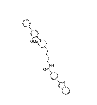 COc1cc(-c2ccccc2)ccc1N1CCN(CCCCNC(=O)c2ccc(-c3cn4ccccc4n3)cc2)CC1